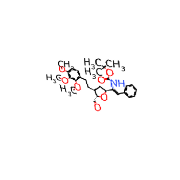 COc1ccc(CC[C@H]2C[C@@H](C(=Cc3ccccc3)NC(=O)OC(C)(C)C)O[C@@H]2C=O)c(OC)c1OC